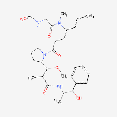 CCCC(CCC(=O)N1CCCC1C(OC)C(C)C(=O)NC(C)C(O)c1ccccc1)N(C)C(=O)CNC=O